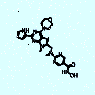 CN(Cc1nc2c(N3CCOCC3)nc(-c3ccc[nH]3)nc2n1C)c1ncc(C(=O)NO)cn1